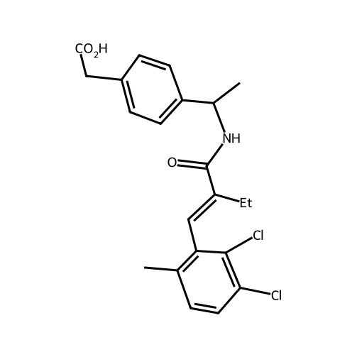 CC/C(=C\c1c(C)ccc(Cl)c1Cl)C(=O)NC(C)c1ccc(CC(=O)O)cc1